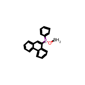 BO[P@@](c1ccccc1)c1cc2ccccc2c2ccccc12